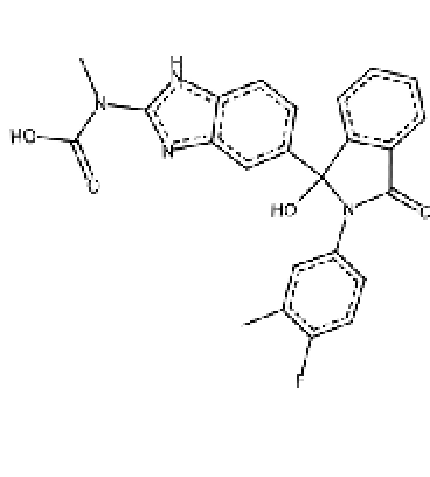 Cc1cc(N2C(=O)c3ccccc3C2(O)c2ccc3[nH]c(N(C)C(=O)O)nc3c2)ccc1F